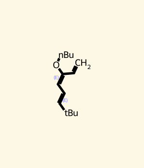 C=C/C(=C\C=C\C(C)(C)C)OCCCC